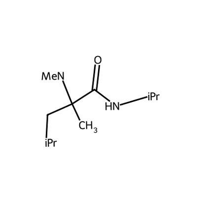 CNC(C)(CC(C)C)C(=O)NC(C)C